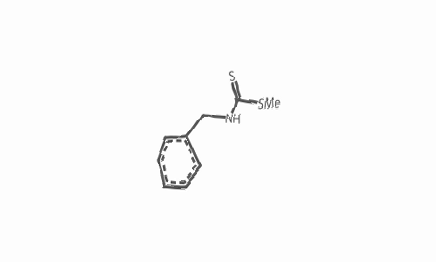 CSC(=S)NCc1ccccc1